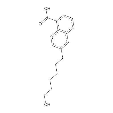 O=C(O)c1cccc2cc(CCCCCCO)ccc12